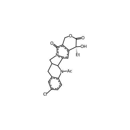 CC[C@@]1(O)C(=O)OCc2c1cc1n(c2=O)CC2Cc3cc(Cl)ccc3N(C(C)=O)C12